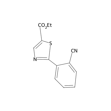 CCOC(=O)c1cnc(-c2ccccc2C#N)s1